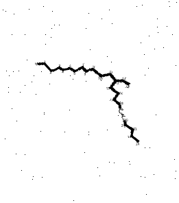 [CH2]CCCCCCCCCCCC(CC)CCCCCCCCC[CH2]